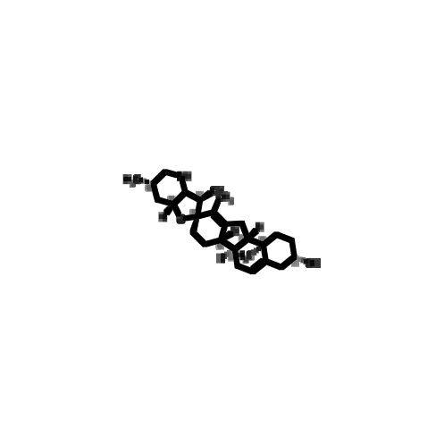 CC1=C2C[C@H]3[C@@H](CC=C4C[C@@H](O)CC[C@@]43C)[C@@H]2CC[C@]12O[C@@H]1C[C@H](C)CNC1[C@H]2C